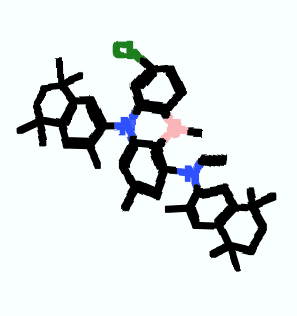 C=CN(c1cc2c(cc1C)C(C)(C)CCC2(C)C)c1cc(C)cc2c1B(C)c1ccc(Cl)cc1N2c1cc2c(cc1C)C(C)(C)CCC2(C)C